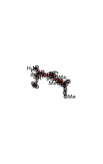 CC[C@H](C)[C@@H]([C@@H](CC(=O)N1CCC[C@H]1[C@H](OC)[C@@H](C)C(=O)N[C@@H](Cc1ccccc1)C(=O)OCCOCCOCCOC)OC)N(C)C[C@@H](NC(=O)[C@H](C(C)C)N(C)C(=O)OCc1ccc(NC(=O)[C@H](CCCNC(N)=O)NC(=O)[C@@H](NC(=O)CCCCCN2C(=O)C=CC2=O)C(C)C)cc1)C(C)C